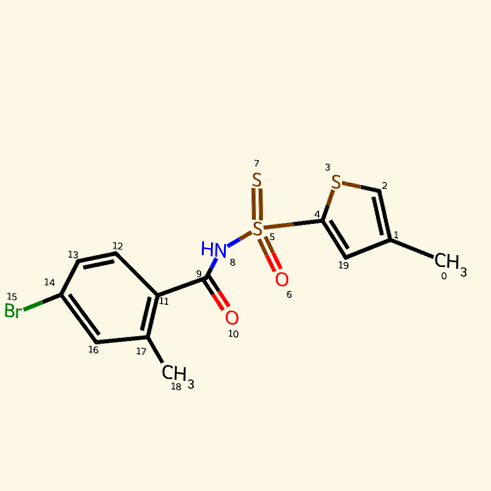 Cc1csc(S(=O)(=S)NC(=O)c2ccc(Br)cc2C)c1